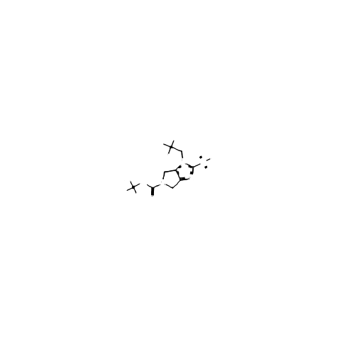 CC(C)(C)OC(=O)N1Cc2nc(S(C)(=O)=O)n(CC(F)(F)F)c2C1